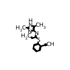 C#Cc1ccccc1S/C(C=C)=N/c1nc(C)[nH]c1C